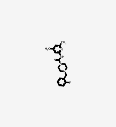 Cc1cc(C)nc(NC(=S)N2CCN(Cc3ccccc3F)CC2)c1